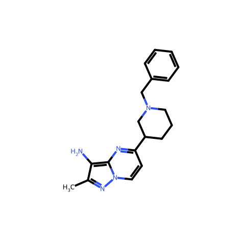 Cc1nn2ccc(C3CCCN(Cc4ccccc4)C3)nc2c1N